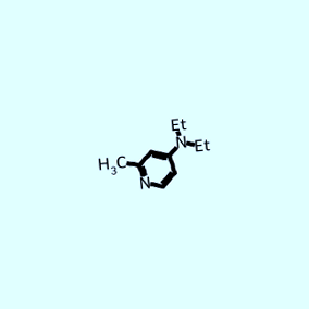 CCN(CC)c1ccnc(C)c1